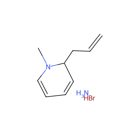 Br.C=CCC1C=CC=CN1C.N